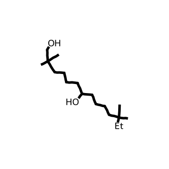 CCC(C)(C)CCCCC(O)CCCCC(C)(C)CO